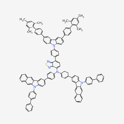 Cc1cc(C)c(-c2ccc(-c3ccc4c(c3)c3cc(-c5ccc(-c6c(C)cc(C)cc6C)cc5)ccc3n4-c3ccc(-c4ccc(N(C5=CC=C(c6ccc7c(c6)c6cc8ccccc8cc6n7-c6ccc(-c7ccccc7)cc6)CC5)c5ccc(-c6ccc7c(c6)c6cc8ccccc8cc6n7-c6ccc(-c7ccccc7)cc6)cc5)c5nsnc45)cc3)cc2)c(C)c1